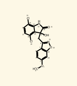 COc1ccc2c(CC3(O)C(=O)Nc4c(Cl)ccc(Cl)c43)noc2c1